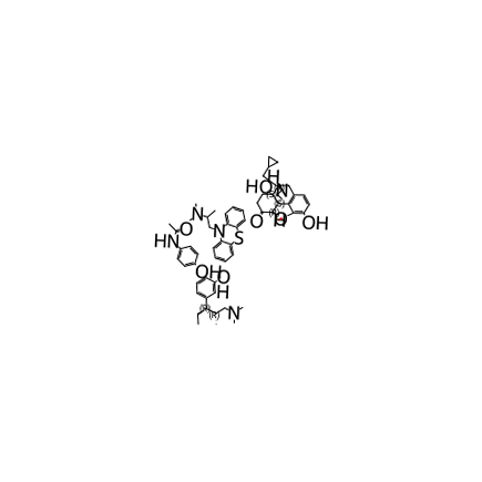 CC(=O)Nc1ccc(O)cc1.CC(CN1c2ccccc2Sc2ccccc21)N(C)C.CC[C@@H](c1cccc(O)c1)[C@@H](C)CN(C)C.O=C1CC[C@@]2(O)[C@H]3Cc4ccc(O)c5c4[C@@]2(CCN3CC2CC2)[C@H]1O5